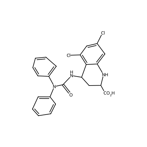 O=C(O)C1CC(NC(=O)N(c2ccccc2)c2ccccc2)c2c(Cl)cc(Cl)cc2N1